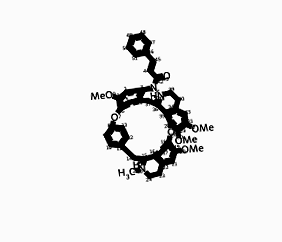 COc1cc2c3cc1Oc1ccc(cc1)C[C@H]1c4cc(c(OC)cc4CCN1C)Oc1c(OC)c(OC)cc4c1[C@H](C3)N(CC4)N2C(=O)/C=C/c1ccccc1